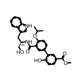 COC(=O)c1ccc(O)c(-c2ccc(OC(C)C)c(C(=O)N[C@@H](CO)Cc3c[nH]c4ccccc34)c2)c1